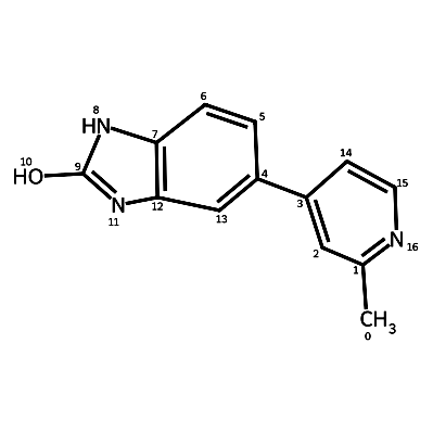 Cc1cc(-c2ccc3[nH]c(O)nc3c2)ccn1